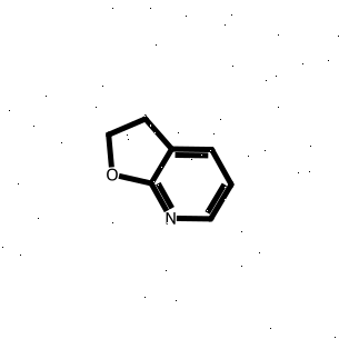 [CH]1COc2ncccc21